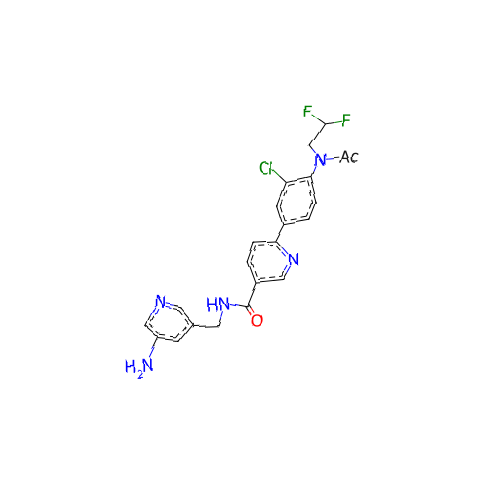 CC(=O)N(CC(F)F)c1ccc(-c2ccc(C(=O)NCc3cncc(N)c3)cn2)cc1Cl